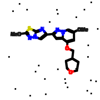 COc1cc(OCC2CCOCC2)c2cc(-c3cn4nc(OC)sc4n3)nn2c1